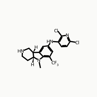 CN1c2c(cc(Nc3ccc(Cl)nc3Cl)cc2C(F)(F)F)[C@H]2CNCC[C@H]21